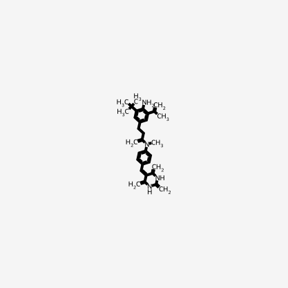 C=C1NC(=C)C(=Cc2ccc(N(C)C(=C)CCc3cc(C(=C)C)c(N)c(C(C)(C)C)c3)cc2)C(=C)N1